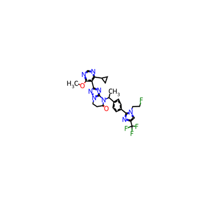 COc1ncnc(C2CC2)c1-c1nc2n(n1)CCC(=O)N2C(C)c1ccc(-c2nc(C(F)(F)F)cn2CCF)cc1